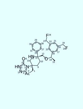 CC(=O)C[C@]1(n2cn[nH]c2=O)CC[C@@](CO[C@H](C)c2cc(CF)cc(CF)c2)(c2ccccc2)NC1